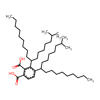 CCCCCCCCCC(CCCCCC(C)C)c1ccc(C(=O)O)c(C(=O)O)c1C(CCCCCCCCC)CCCCCC(C)C